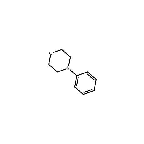 [c]1ccccc1N1CCOSC1